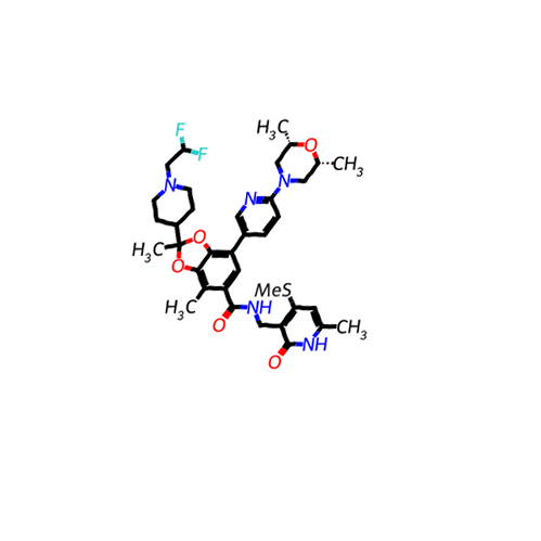 CSc1cc(C)[nH]c(=O)c1CNC(=O)c1cc(-c2ccc(N3C[C@@H](C)O[C@@H](C)C3)nc2)c2c(c1C)OC(C)(C1CCN(CC(F)F)CC1)O2